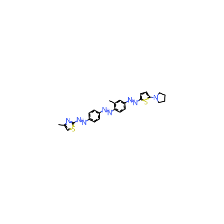 Cc1csc(/N=N/c2ccc(/N=N/c3ccc(/N=N/c4ccc(N5CCCC5)s4)cc3C)cc2)n1